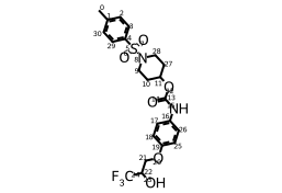 Cc1ccc(S(=O)(=O)N2CCC(OC(=O)Nc3ccc(OCC(O)C(F)(F)F)cc3)CC2)cc1